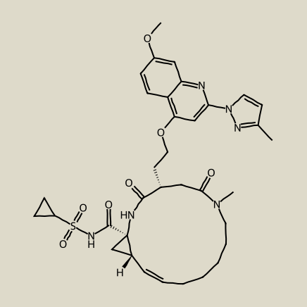 COc1ccc2c(OCC[C@@H]3CC(=O)N(C)CCCCC/C=C\[C@@H]4C[C@@]4(C(=O)NS(=O)(=O)C4CC4)NC3=O)cc(-n3ccc(C)n3)nc2c1